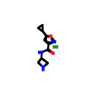 Cl.O=C(NC1CNC1)c1cc(C2CC2)on1